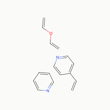 C=COC=C.C=Cc1ccncc1.c1ccncc1